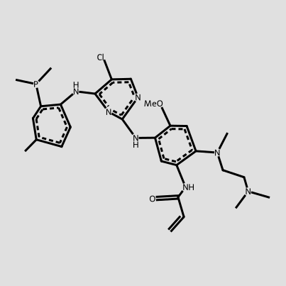 C=CC(=O)Nc1cc(Nc2ncc(Cl)c(Nc3ccc(C)cc3P(C)C)n2)c(OC)cc1N(C)CCN(C)C